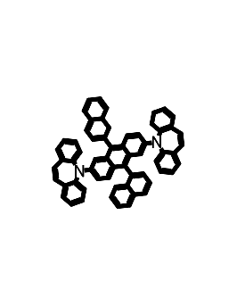 C1=CC2=CC=C(c3c4cc(N5c6ccccc6C=Cc6ccccc65)ccc4c(-c4cccc5ccccc45)c4cc(N5C6=C(C=CCC6)C=Cc6ccccc65)ccc34)CC2C=C1